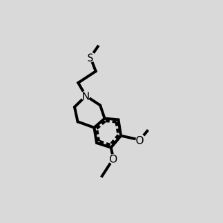 COc1cc2c(cc1OC)CN(CCSC)CC2